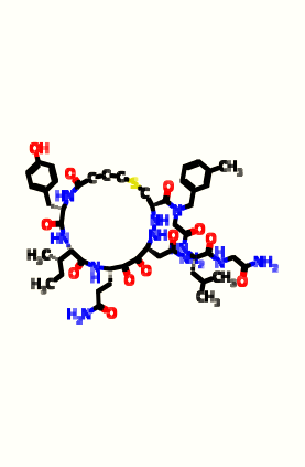 CC[C@H](C)[C@@H]1NC(=O)[C@H](Cc2ccc(O)cc2)NC(=O)CCCSC[C@@H](C(=O)N(CC(=O)N[C@@H](CC(C)C)C(=O)NCC(N)=O)Cc2cccc(C)c2)NN[C@@H](CC(N)=O)C(=O)C(=O)[C@H](CCC(N)=O)NC1=O